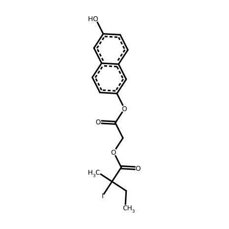 CCC(C)(I)C(=O)OCC(=O)Oc1ccc2cc(O)ccc2c1